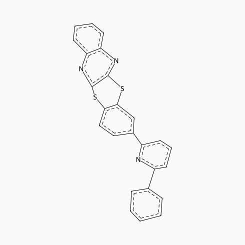 c1ccc(-c2cccc(-c3ccc4c(c3)Sc3nc5ccccc5nc3S4)n2)cc1